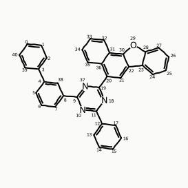 c1ccc(-c2cccc(-c3nc(-c4ccccc4)nc(-c4cc5c6ccccc6oc5c5ccccc45)n3)c2)cc1